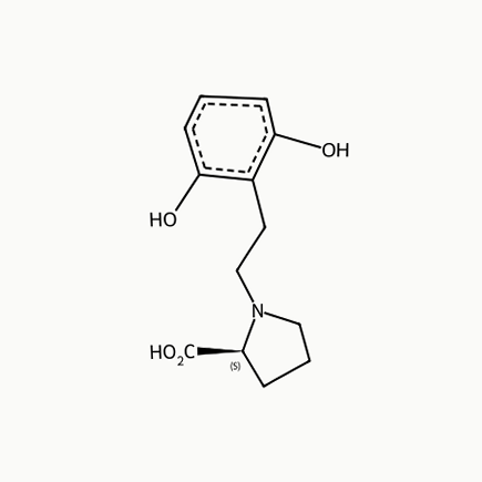 O=C(O)[C@@H]1CCCN1CCc1c(O)cccc1O